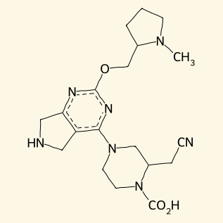 CN1CCCC1COc1nc2c(c(N3CCN(C(=O)O)C(CC#N)C3)n1)CNC2